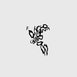 C=CC(=O)Nc1ccc(F)cc1Nc1nc(Nc2ccc(N3CCN(C)CC3)cc2)ncc1C(=O)Nc1c(C)cccc1Cl